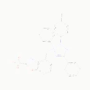 Cc1ccc(N2NC(c3ccccc3)=N[N+]2(Sc2cccc3oc(S(=O)(=O)[O-])nc23)c2ccccc2)cc1